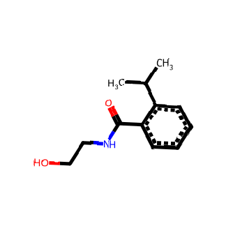 CC(C)c1ccccc1C(=O)NCCO